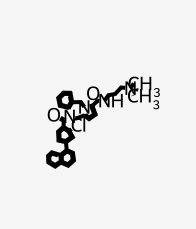 CN(C)CCCNC(=O)c1ccc2n1Cc1ccccc1N(C(=O)c1ccc(-c3cccc4ccccc34)cc1Cl)C2